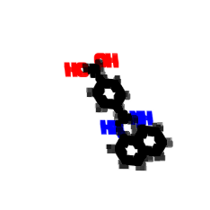 OB(O)c1ccc(B2Nc3cccc4cccc(c34)N2)cc1